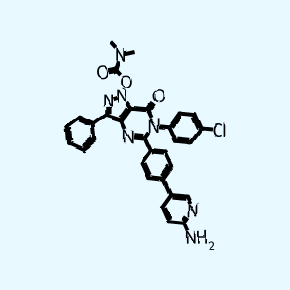 CN(C)C(=O)On1nc(-c2ccccc2)c2nc(-c3ccc(-c4ccc(N)nc4)cc3)n(-c3ccc(Cl)cc3)c(=O)c21